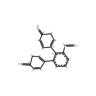 S=Pc1cccc(C2=CCC(=S)C=C2)c1C1=CCC(=S)C=C1